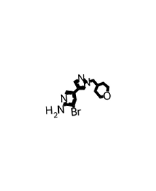 Nc1ncc(-c2cnn(CC3CCOCC3)c2)cc1Br